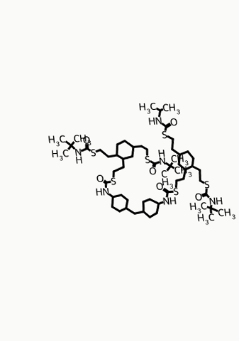 CC(C)NC(=O)SCCC1CCC(CCSC(=O)NC(C)(C)C)C(CCSC(=O)NC2CCC(CC3CCC(NC(=O)SCCC4CC(CCSC(=O)NC(C)(C)C)CCC4CCSC(=O)NC(C)(C)C)CC3)CC2)C1